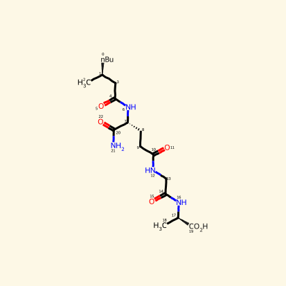 CCCC[C@H](C)CC(=O)N[C@H](CCC(=O)NCC(=O)N[C@H](C)C(=O)O)C(N)=O